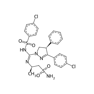 C[C@H](CS(N)(=O)=O)/N=C(/NS(=O)(=O)c1ccc(Cl)cc1)N1C[C@@H](c2ccccc2)C(c2ccc(Cl)cc2)=N1